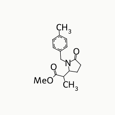 COC(=O)C(C)C1CCC(=O)N1Cc1ccc(C)cc1